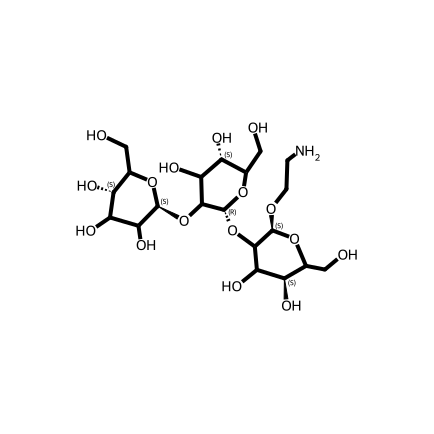 NCCO[C@H]1OC(CO)[C@@H](O)C(O)C1O[C@H]1OC(CO)[C@@H](O)C(O)C1O[C@@H]1OC(CO)[C@@H](O)C(O)C1O